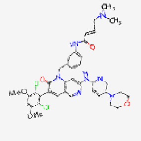 COc1cc(OC)c(Cl)c(-c2cc3cnc(Nc4ccc(N5CCOCC5)cn4)cc3n(Cc3cccc(NC(=O)/C=C/CN(C)C)c3)c2=O)c1Cl